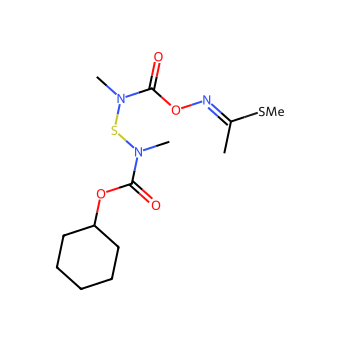 CSC(C)=NOC(=O)N(C)SN(C)C(=O)OC1CCCCC1